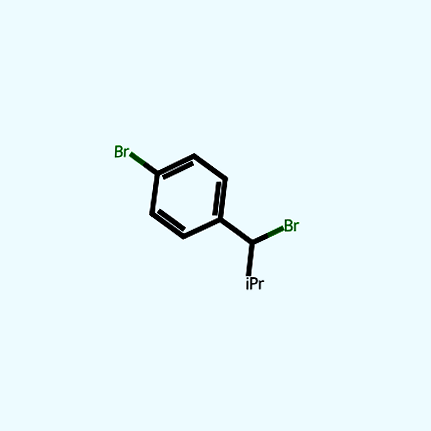 CC(C)C(Br)c1ccc(Br)cc1